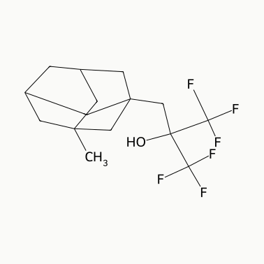 CC12CC3CC(C1)CC(CC(O)(C(F)(F)F)C(F)(F)F)(C3)C2